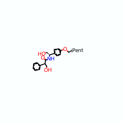 CCCC(C)COc1ccc([C@H](CO)NC(=O)C(CO)c2ccccc2)cc1